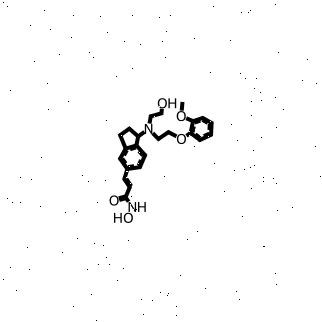 COc1ccccc1OCCN(CCO)C1CCc2cc(/C=C/C(=O)NO)ccc21